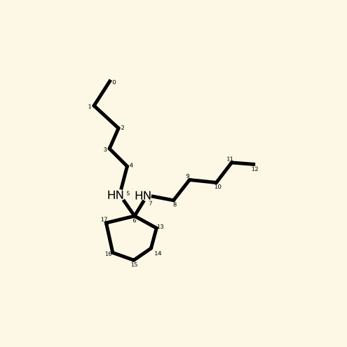 CCCCCNC1(NCCCCC)CCCCC1